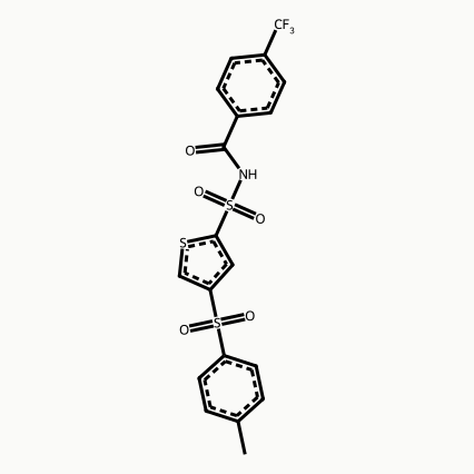 Cc1ccc(S(=O)(=O)c2csc(S(=O)(=O)NC(=O)c3ccc(C(F)(F)F)cc3)c2)cc1